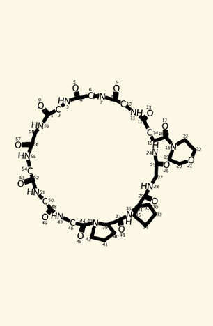 O=C1CNC(=O)CNC(=O)CNC(=O)CC(C(=O)N2CCOCC2)NC(=O)CNC(=O)C2(CCCC2)NC(=O)C2CCCN2C(=O)CNC(=O)CNC(=O)CNC(=O)CN1